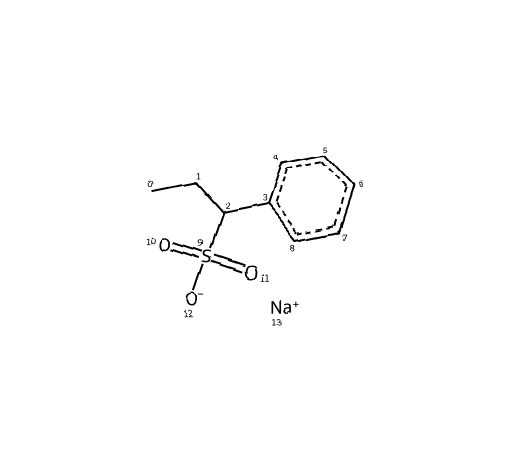 CCC(c1ccccc1)S(=O)(=O)[O-].[Na+]